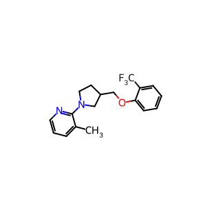 Cc1cccnc1N1CCC(COc2ccccc2C(F)(F)F)C1